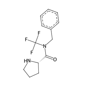 O=C([C@@H]1CCCN1)N(Cc1ccccc1)C(F)(F)F